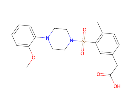 COc1ccccc1N1CCN(S(=O)(=O)c2cc(CC(=O)O)ccc2C)CC1